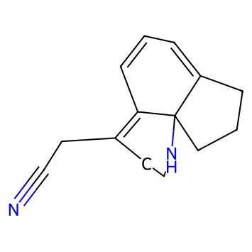 N#CCC1=C2C=CC=C3CCCC32NCC1